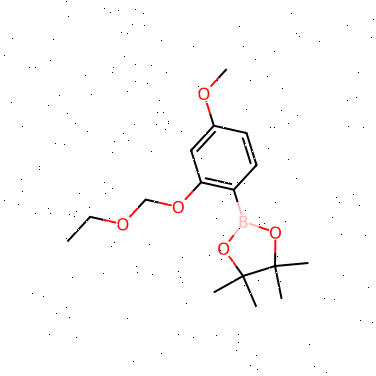 CCOCOc1cc(OC)ccc1B1OC(C)(C)C(C)(C)O1